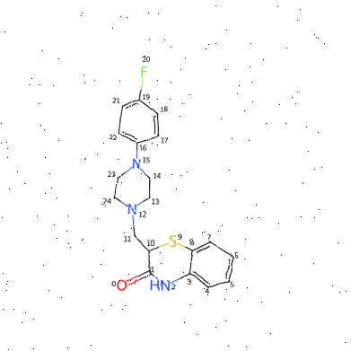 O=C1Nc2ccccc2SC1CN1CCN(c2ccc(F)cc2)CC1